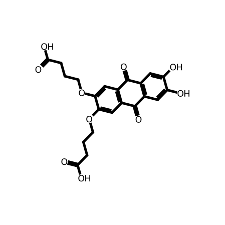 O=C(O)CCCOc1cc2c(cc1OCCCC(=O)O)C(=O)c1cc(O)c(O)cc1C2=O